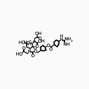 CN(C(=O)C(CC(=O)O)N(CC(=O)O)C(=O)OCc1ccc(OC(=O)c2ccc(NC(=N)N)cc2)cc1)[C@@H](CC(=O)O)C(=O)O